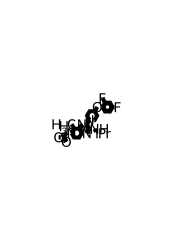 CC(C)Nc1nc2c(nc1N1CCC(Oc3ccc(F)cc3F)CC1)C(C)N(C[SH](=O)=O)CC2